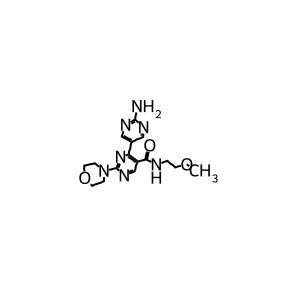 COCCNC(=O)c1cnc(N2CCOCC2)nc1-c1cnc(N)nc1